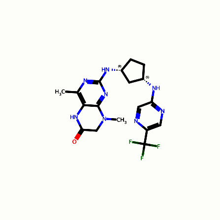 Cc1nc(N[C@@H]2CC[C@H](Nc3cnc(C(F)(F)F)cn3)C2)nc2c1NC(=O)CN2C